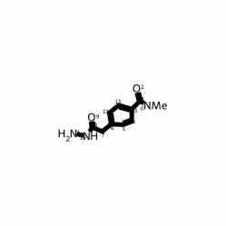 CNC(=O)c1ccc(CC(=O)NN)cc1